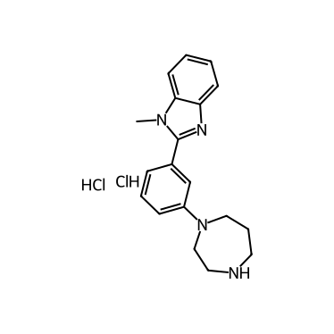 Cl.Cl.Cn1c(-c2cccc(N3CCCNCC3)c2)nc2ccccc21